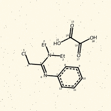 CCN(CC)C(CCl)=Nc1ccccc1.O=C(O)C(=O)O